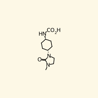 CN1CCN([C@H]2CC[C@H](NC(=O)O)CC2)C1=O